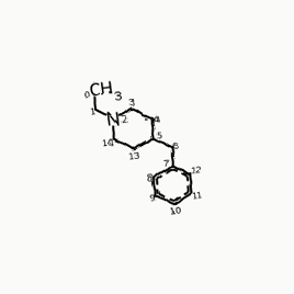 CCN1C[CH]C(Cc2ccccc2)CC1